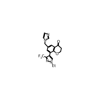 CCn1cc(-c2cc(Cn3ccnc3)cc3c2OCCC3=O)c(C(F)(F)F)n1